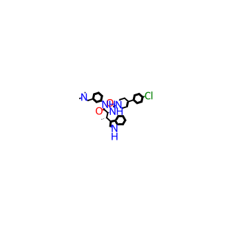 C[C@@H](c1c[nH]c2ccccc12)[C@@H](NC(=O)N1CC=C(c2ccc(Cl)cc2)CC1)C(=O)Nc1cccc(CN(C)C)c1